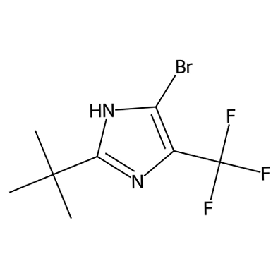 CC(C)(C)c1nc(C(F)(F)F)c(Br)[nH]1